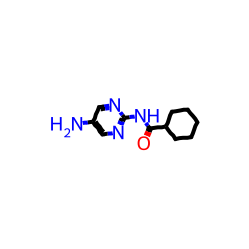 Nc1cnc(NC(=O)C2CCCCC2)nc1